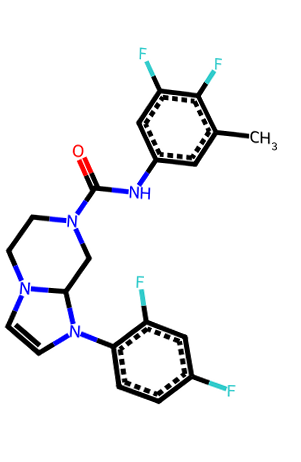 Cc1cc(NC(=O)N2CCN3C=CN(c4ccc(F)cc4F)C3C2)cc(F)c1F